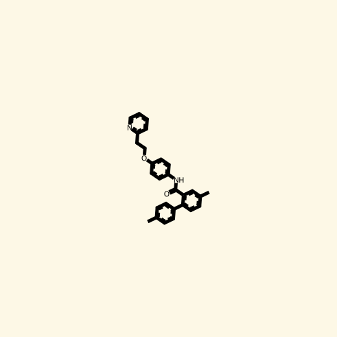 Cc1ccc(-c2ccc(C)cc2C(=O)Nc2ccc(OCCc3ccccn3)cc2)cc1